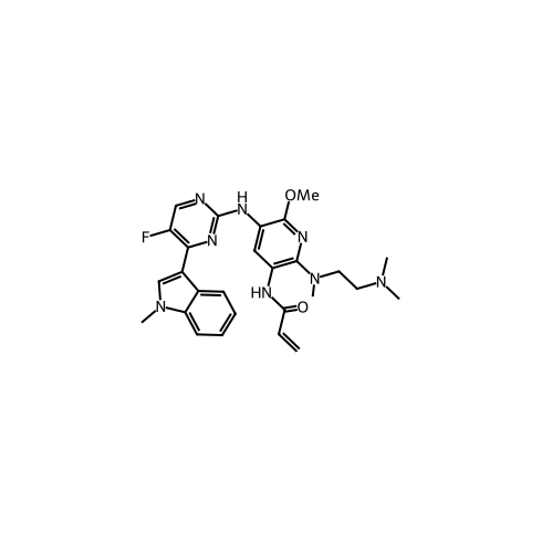 C=CC(=O)Nc1cc(Nc2ncc(F)c(-c3cn(C)c4ccccc34)n2)c(OC)nc1N(C)CCN(C)C